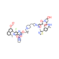 CCc1cccc2cc(OCOC)cc(-c3ncc4c(N5CC6CCC(C5)N6C(=O)OC(C)(C)C)nc(OCC5(CN6CCC(CC7CN(c8cc([C@H](C(=O)N9C[C@H](O)C[C@H]9C(=O)N[C@@H](C)c9ccc(-c%10scnc%10C)cc9)C(C)C)on8)C7)CC6)CC5)nc4c3F)c12